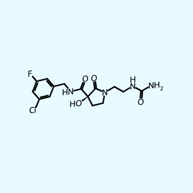 NC(=O)NCCN1CC[C@](O)(C(=O)NCc2cc(F)cc(Cl)c2)C1=O